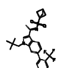 CC(=NS(=O)(=O)C12CC(C1)C2)c1cn(CC(C)(C)C)c2cc(-c3ccccc3C(F)(F)F)ccc12